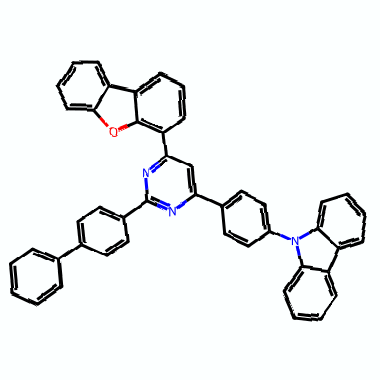 c1ccc(-c2ccc(-c3nc(-c4ccc(-n5c6ccccc6c6ccccc65)cc4)cc(-c4cccc5c4oc4ccccc45)n3)cc2)cc1